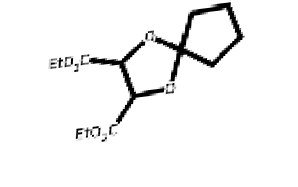 CCOC(=O)C1OC2(CCCC2)OC1C(=O)OCC